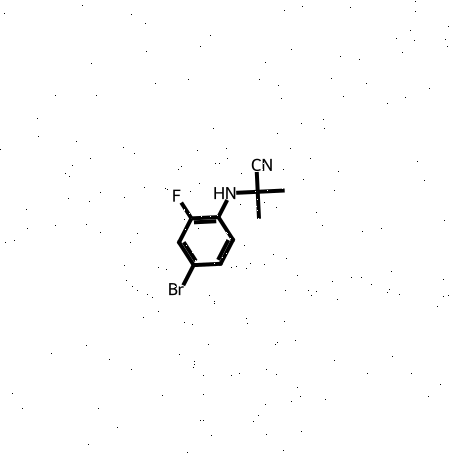 CC(C)(C#N)Nc1ccc(Br)cc1F